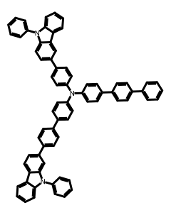 c1ccc(-c2ccc(-c3ccc(N(c4ccc(-c5ccc(-c6ccc7c8ccccc8n(-c8ccccc8)c7c6)cc5)cc4)c4ccc(-c5ccc6c(c5)c5ccccc5n6-c5ccccc5)cc4)cc3)cc2)cc1